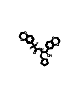 O=C(N[C@H](CN1CCCC1)[C@H](O)c1ccc2c(c1)OCCO2)C(F)(F)c1ccc2c(c1)OCCO2